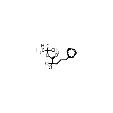 CC(C)(C)OC(=O)C1(CCCc2ccccc2)OO1